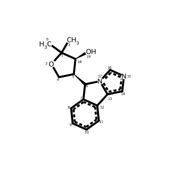 CC1(C)OC[C@H](C2c3ccccc3-c3cncn32)[C@@H]1O